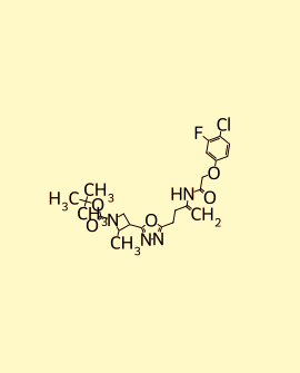 C=C(CCc1nnc(C2CN(C(=O)OC(C)(C)C)C2C)o1)NC(=O)COc1ccc(Cl)c(F)c1